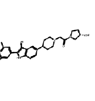 Cc1cc(-c2[nH]c3ccc(C4CCN(CC(=O)N5CC[C@H](O)C5)CC4)cc3c2C(C)C)cc(C)n1